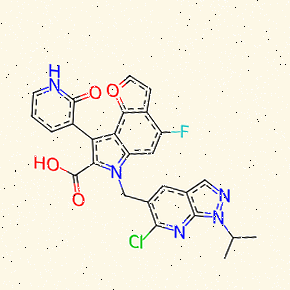 CC(C)n1ncc2cc(Cn3c(C(=O)O)c(-c4ccc[nH]c4=O)c4c5occc5c(F)cc43)c(Cl)nc21